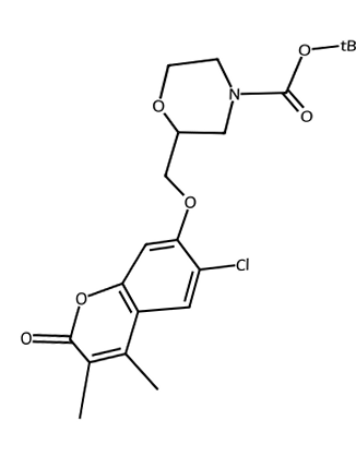 Cc1c(C)c2cc(Cl)c(OCC3CN(C(=O)OC(C)(C)C)CCO3)cc2oc1=O